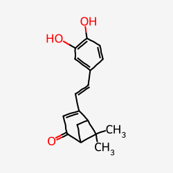 CC1(C)C2CC1C(C=Cc1ccc(O)c(O)c1)=CC2=O